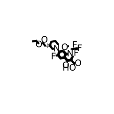 CCOC(=O)C[C@@H]1CCCN(c2c(F)cc3c(=O)c(C(=O)O)cn(CC(F)(F)F)c3c2OC)C1